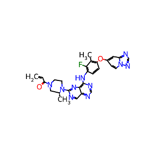 C=CC(=O)N1CCN(c2ncc3ncnc(Nc4ccc(Oc5ccn6ncnc6c5)c(C)c4F)c3n2)[C@@H](C)C1